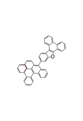 c1ccc(-c2ccccc2-c2c3ccccc3c(-c3ccc4c(c3)oc3c5ccccc5c5ccccc5c43)c3ccccc23)cc1